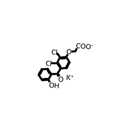 O=C([O-])COc1ccc(C(=O)c2ccccc2O)c(Cl)c1Cl.[K+]